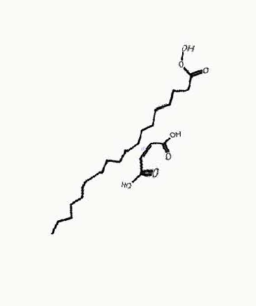 CCCCCCCCCCCCCCCCCC(=O)OO.O=C(O)/C=C\C(=O)O